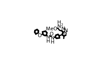 COC(N)Cc1ncnn2cc(C)c(-c3ccc(NC(=O)Nc4cccc(Oc5ccccc5)c4)cc3)c12